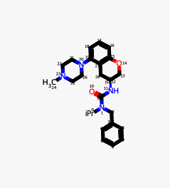 CC(C)N(Cc1ccccc1)C(=O)N[C@@H]1COc2cccc(N3CCN(C)CC3)c2C1